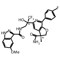 COc1ccc2[nH]nc(C(=O)NC[C@](O)(c3cc4c(c(-c5ccc(F)cc5)n3)OC[C@]4(C)C(N)=O)C(F)(F)F)c2c1